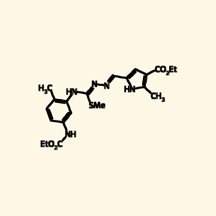 CCOC(=O)Nc1ccc(C)c(N/C(=N/N=C/c2cc(C(=O)OCC)c(C)[nH]2)SC)c1